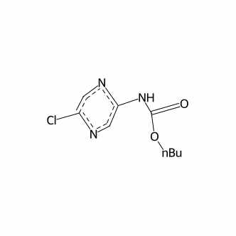 CCCCOC(=O)Nc1cnc(Cl)cn1